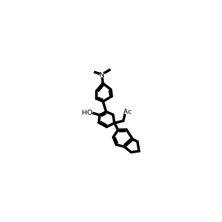 CC(=O)CC1(c2ccc3c(c2)CCC3)C=CC(O)=C(c2ccc(N(C)C)cc2)C1